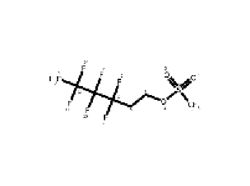 O=S(=O)(OCCC(F)(F)C(F)(F)C(F)(F)C(F)(F)F)C(F)(F)F